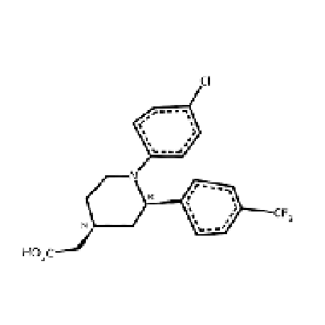 O=C(O)C[C@H]1CCN(c2ccc(Cl)cc2)[C@@H](c2ccc(C(F)(F)F)cc2)C1